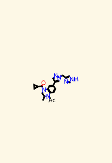 CC(=O)N1c2ccc(-c3cnn(Cc4c[nH]cn4)c3)cc2N(C(=O)C2CC2)CC1C